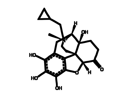 C[N@+]1(CC2CC2)CC[C@]23c4c5c(O)c(O)c(O)c4O[C@H]2C(=O)CC[C@@]3(O)[C@H]1C5